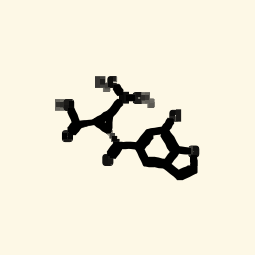 CN(C)C1[C@H](C(=O)O)[C@H]1C(=O)c1cc(Cl)c2occc2c1